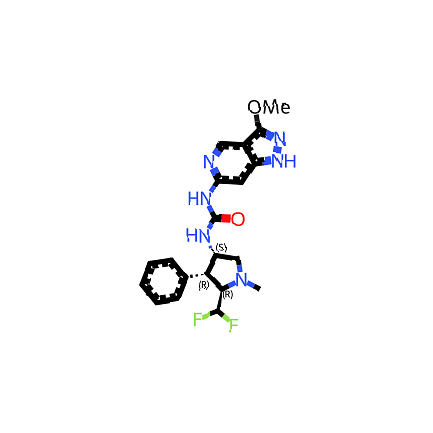 COc1n[nH]c2cc(NC(=O)N[C@@H]3CN(C)[C@@H](C(F)F)[C@@H]3c3ccccc3)ncc12